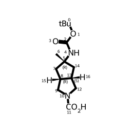 CC(C)(C)OC(=O)N[C@@]1(C)C[C@H]2CN(C(=O)O)C[C@H]2C1